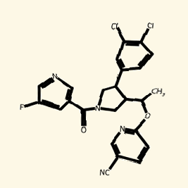 CC(Oc1ccc(C#N)cn1)C1CN(C(=O)c2cncc(F)c2)CC1c1ccc(Cl)c(Cl)c1